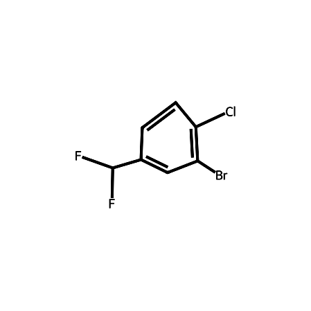 FC(F)c1ccc(Cl)c(Br)c1